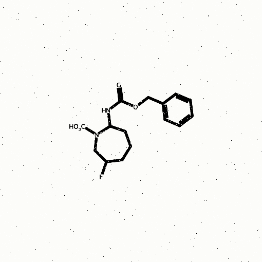 O=C(NC1CCCC(F)CN1C(=O)O)OCc1ccccc1